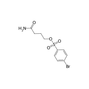 NC(=O)CCCOS(=O)(=O)c1ccc(Br)cc1